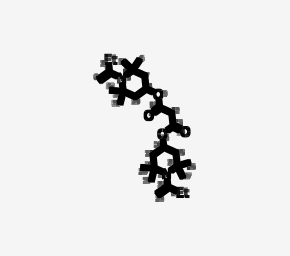 C=C(CC)N1C(C)(C)CC(OC(=O)CC(=O)OC2CC(C)(C)N(C(=C)CC)C(C)(C)C2)CC1(C)C